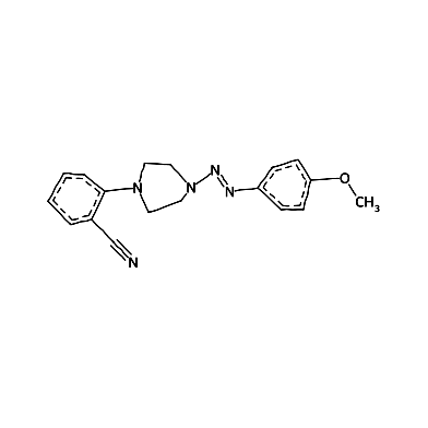 COc1ccc(/N=N/N2CCN(c3ccccc3C#N)CC2)cc1